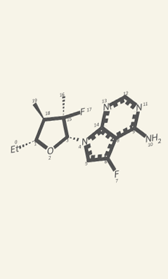 CC[C@H]1O[C@@H](n2cc(F)c3c(N)ncnc32)[C@](C)(F)[C@@H]1C